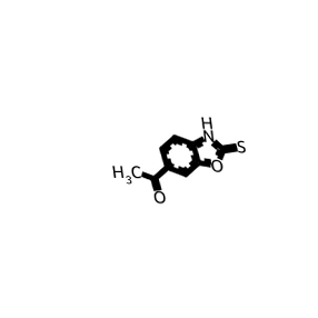 CC(=O)c1ccc2[nH]c(=S)oc2c1